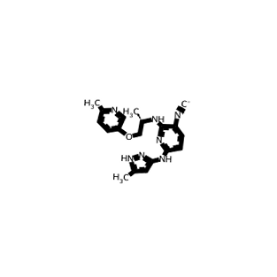 [C-]#[N+]c1ccc(Nc2cc(C)[nH]n2)nc1N[C@@H](C)COc1ccc(C)nc1